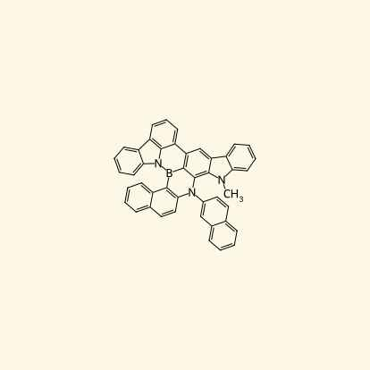 Cn1c2ccccc2c2cc3c4c(c21)N(c1ccc2ccccc2c1)c1ccc2ccccc2c1B4n1c2ccccc2c2cccc-3c21